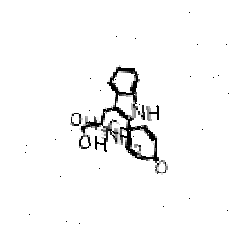 CC1(c2[nH]c3ccccc3c2C[C@H](N)C(=O)O)C=CC(=O)C=C1